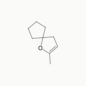 CC1=CCC2(CCCC2)O1